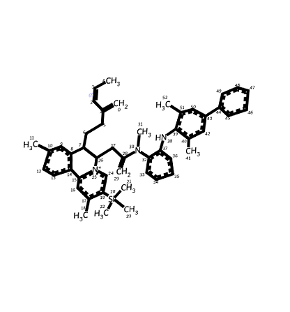 C=C(/C=C\C)CCC1c2cc(C)ccc2-c2cc(C)c([Si](C)(C)C)c[n+]2C1CC(=C)N(C)c1ccccc1Nc1c(C)cc(-c2ccccc2)cc1C